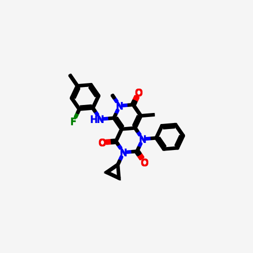 Cc1ccc(Nc2c3c(=O)n(C4CC4)c(=O)n(-c4ccccc4)c3c(C)c(=O)n2C)c(F)c1